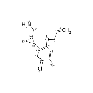 C=CCOc1cc(F)c(Cl)cc1C1CC1CN